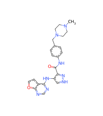 CN1CCN(Cc2ccc(NC(=O)c3n[nH]cc3Nc3ncnc4occc34)cc2)CC1